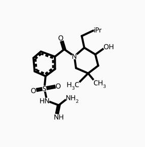 CC(C)CC1C(O)CC(C)(C)CN1C(=O)c1cccc(S(=O)(=O)NC(=N)N)c1